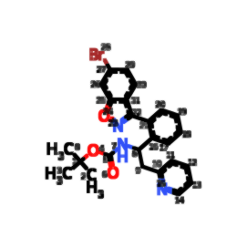 CC(C)(C)OC(=O)NC(Cc1ccccn1)c1ccccc1-c1noc2cc(Br)ccc12